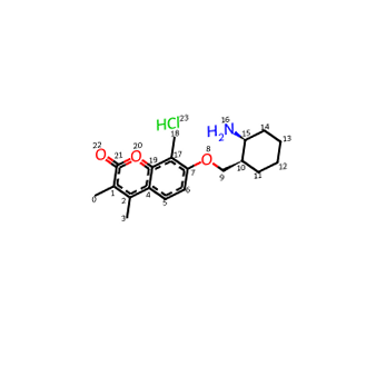 Cc1c(C)c2ccc(OC[C@@H]3CCCC[C@@H]3N)c(C)c2oc1=O.Cl